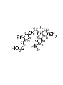 CCc1cc(OCC[C@H](C)Oc2ccc(C(F)(F)F)cc2-c2ccc(N(C)C)cc2)ccc1CCC(=O)O